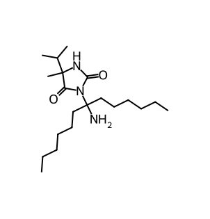 CCCCCCC(N)(CCCCCC)N1C(=O)NC(C)(C(C)C)C1=O